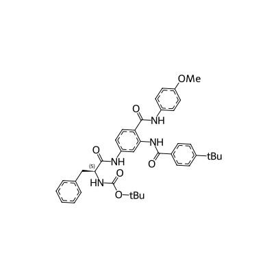 COc1ccc(NC(=O)c2ccc(NC(=O)[C@H](Cc3ccccc3)NC(=O)OC(C)(C)C)cc2NC(=O)c2ccc(C(C)(C)C)cc2)cc1